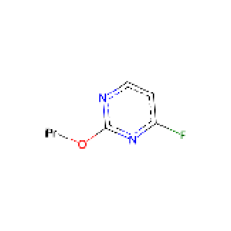 CC(C)Oc1nccc(F)n1